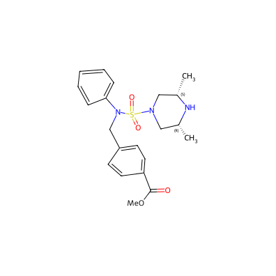 COC(=O)c1ccc(CN(c2ccccc2)S(=O)(=O)N2C[C@@H](C)N[C@@H](C)C2)cc1